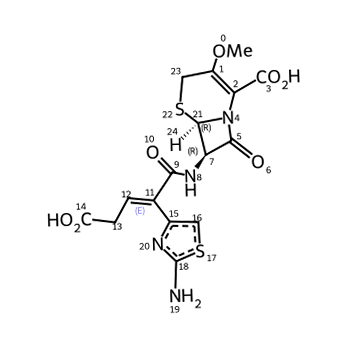 COC1=C(C(=O)O)N2C(=O)[C@@H](NC(=O)/C(=C/CC(=O)O)c3csc(N)n3)[C@H]2SC1